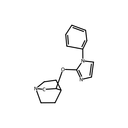 c1ccc(-n2ccnc2OC2CN3CCC2CC3)cc1